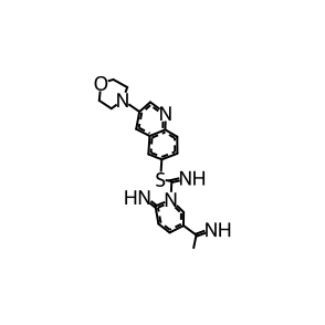 CC(=N)c1ccc(=N)n(C(=N)Sc2ccc3ncc(N4CCOCC4)cc3c2)c1